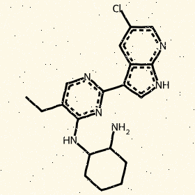 CCc1cnc(-c2c[nH]c3ncc(Cl)cc23)nc1NC1CCCCC1N